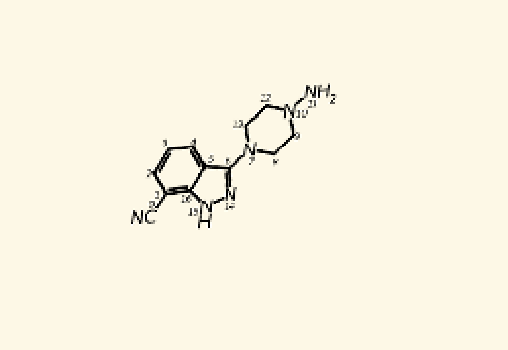 N#Cc1cccc2c(N3CCN(N)CC3)n[nH]c12